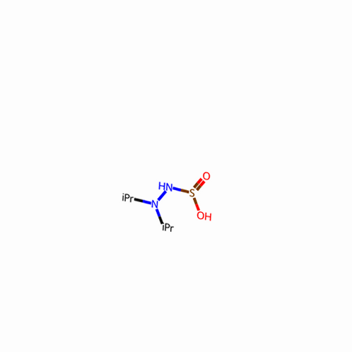 CC(C)N(NS(=O)O)C(C)C